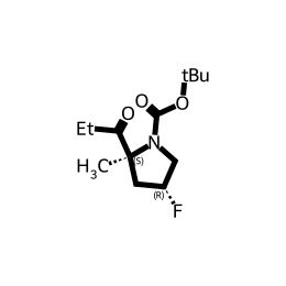 CCC(=O)[C@]1(C)C[C@@H](F)CN1C(=O)OC(C)(C)C